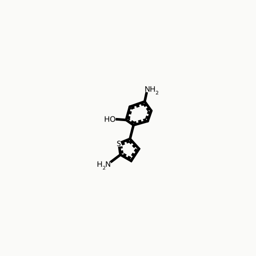 Nc1ccc(-c2ccc(N)s2)c(O)c1